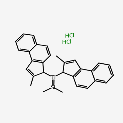 CC1=Cc2c(ccc3ccccc23)[CH]1[Ti]([CH]1C(C)=Cc2c1ccc1ccccc21)=[Si](C)C.Cl.Cl